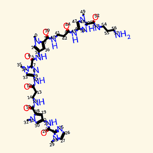 Cn1cc(NC(=O)c2nc(NC(=O)CCNC(=O)c3cc(NC(=O)c4nccn4C)cn3C)cn2C)cc1C(=O)NCCC(=O)Nc1cn(C)c(C(=O)NCCCN)n1